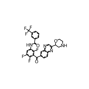 O=C(Nc1cc(F)c(F)c(C(=O)c2ccc3nc(C4CNCCO4)cnc3c2)c1F)c1cccc(C(F)(F)F)c1